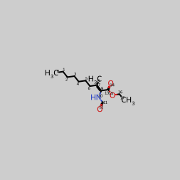 CCCCCCC/C(C)=C(\NC=O)C(=O)OCC